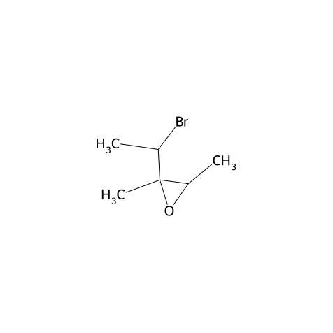 CC(Br)C1(C)OC1C